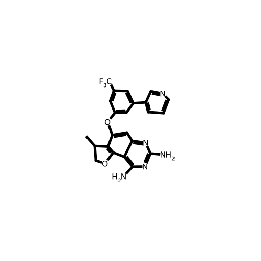 CC1COc2c1c(Oc1cc(-c3cccnc3)cc(C(F)(F)F)c1)cc1nc(N)nc(N)c21